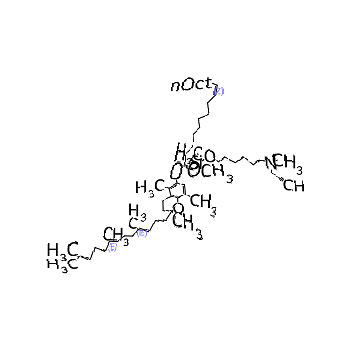 C#CCN(C)CCCCCCO[Si](C)(C)OC(CCCCCCC/C=C\CCCCCCCC)Oc1cc(C)c2c(c1C)CCC(C)(CC/C=C(\C)CC/C=C(\C)CCC=C(C)C)O2